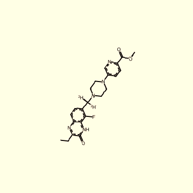 [2H]C([2H])(c1ccc2nc(CC)c(=O)[nH]c2c1F)N1CCN(c2ccc(C(=O)OC)nc2)CC1